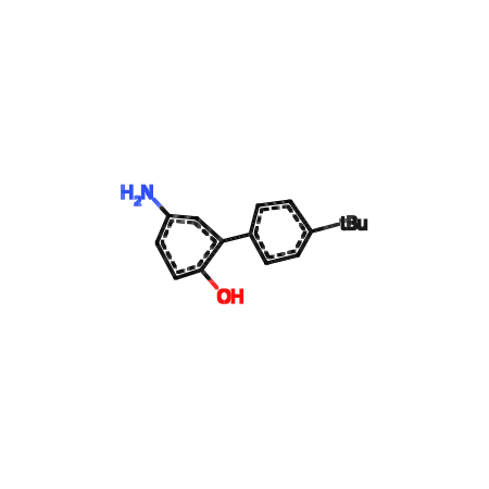 CC(C)(C)c1ccc(-c2cc(N)ccc2O)cc1